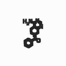 Nc1ncnc2c1CCN(C(=O)c1ccccc1)C2